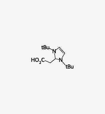 CC(C)(C)N1C=CN(C(C)(C)C)C1CC(=O)O